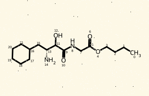 CCCCOC(=O)CNC(=O)C(O)[C@H](N)CC1CCCCC1